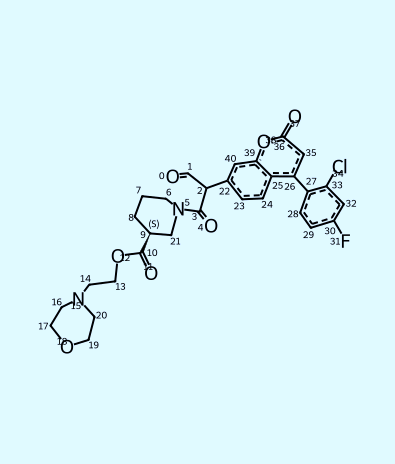 O=CC(C(=O)N1CCC[C@H](C(=O)OCCN2CCOCC2)C1)c1ccc2c(-c3ccc(F)cc3Cl)cc(=O)oc2c1